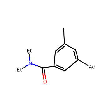 CCN(CC)C(=O)c1cc(C)cc(C(C)=O)c1